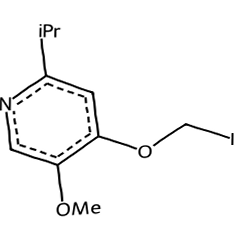 COc1cnc(C(C)C)cc1OCI